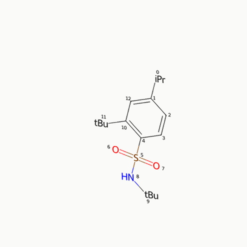 CC(C)c1ccc(S(=O)(=O)NC(C)(C)C)c(C(C)(C)C)c1